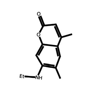 CCNc1cc2oc(=O)cc(C)c2cc1C